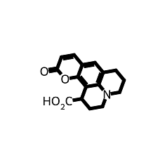 O=C(O)C1CCN2CCCc3cc4ccc(=O)oc4c1c32